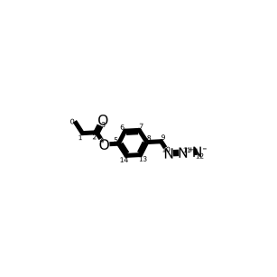 CCC(=O)Oc1ccc(CN=[N+]=[N-])cc1